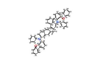 CC1(C)c2cc3cc(N(c4ccccc4)c4cccc5c4oc4ccccc45)ccc3cc2-c2c1cc(N(c1ccccc1)c1cccc3c1oc1ccccc13)c1ccccc21